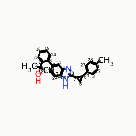 Cc1ccc(C2CC2c2nc3cc(-c4ccccc4C(C)(C)O)ccc3[nH]2)cc1